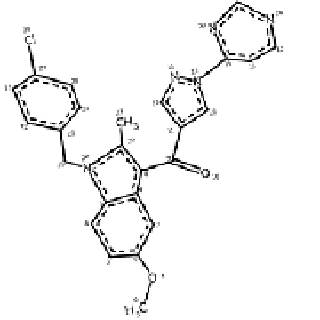 COc1ccc2c(c1)c(C(=O)c1cnn(-c3ccncn3)c1)c(C)n2Cc1ccc(Cl)cc1